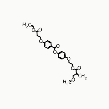 C=COC(=O)CCOc1ccc(C(=O)Oc2ccc(OCCOC(=O)C(=C)COC)cc2)cc1